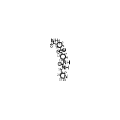 NC(=O)c1cccc(S(=O)(=O)c2ccc(NC(=O)NCc3cccnc3)cc2)c1